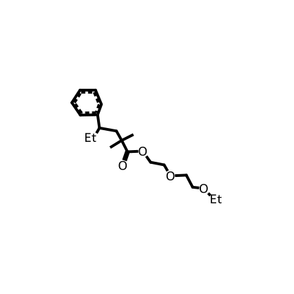 CCOCCOCCOC(=O)C(C)(C)CC(CC)c1ccccc1